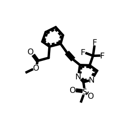 COC(=O)Cc1ccccc1C#Cc1nc(S(C)(=O)=O)ncc1C(F)(F)F